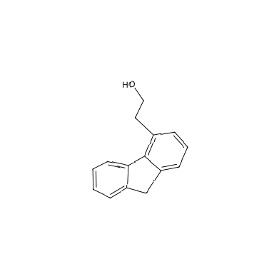 OCCc1cccc2c1-c1ccccc1C2